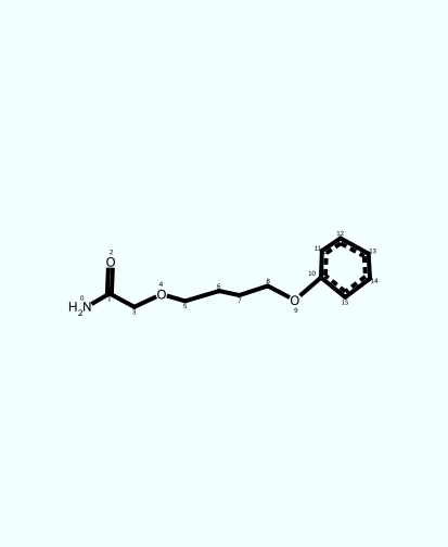 NC(=O)COCCCCOc1ccccc1